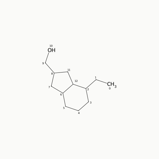 CCC1CCCC2CC(CO)CC12